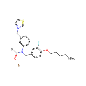 CCCCCCCCCCCCCCOc1ccc(CN(C(=O)CC)c2cccc(C[n+]3ccsc3)c2)cc1F.[Br-]